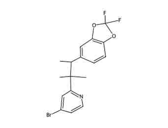 CC(c1ccc2c(c1)OC(F)(F)O2)C(C)(C)c1cc(Br)ccn1